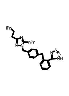 CCCc1nc(CCC(C)C)nn1Cc1ccc(Cc2ccccc2-c2nnn[nH]2)cc1